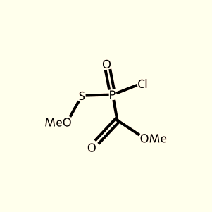 COSP(=O)(Cl)C(=O)OC